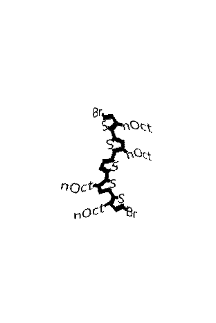 CCCCCCCCc1cc(Br)sc1-c1cc(CCCCCCCC)c(-c2ccc(-c3sc(-c4sc(Br)cc4CCCCCCCC)cc3CCCCCCCC)s2)s1